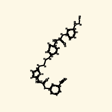 N#Cc1cccc(CC(=O)Nc2nnc(CCCCc3ccc(NC(=O)Cc4cccc(OCF)c4)nn3)s2)c1